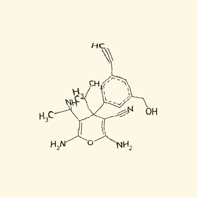 C#Cc1cc(CO)cc(C2(C(C)C)C(C#N)=C(N)OC(N)=C2C(C)=N)c1